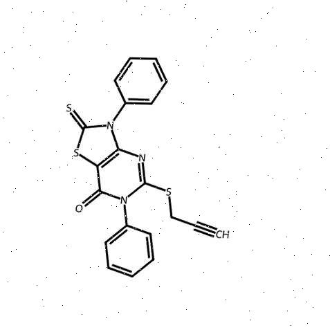 C#CCSc1nc2c(sc(=S)n2-c2ccccc2)c(=O)n1-c1ccccc1